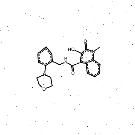 Cn1c(=O)c(O)c(C(=O)NCc2ccccc2N2CCOCC2)c2ccccc21